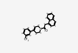 O=C(Cc1cccc2ccccc12)N1CC=C(c2cccc(C(F)(F)F)c2)CC1